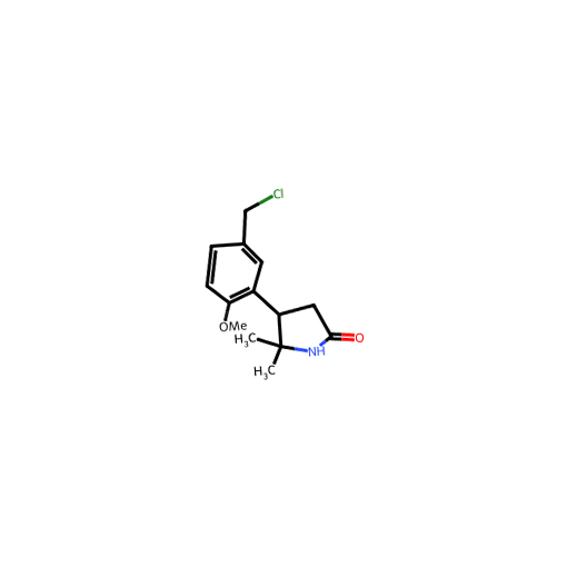 COc1ccc(CCl)cc1C1CC(=O)NC1(C)C